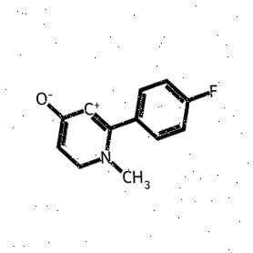 CN1CC=C([O-])[C+]=C1c1ccc(F)cc1